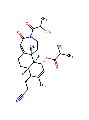 CC1=C[C@@H](OC(=O)C(C)C)[C@H]2[C@@H](CCC3=CC(=O)N(C(=O)C(C)C)CC[C@@]32C)[C@@H]1CCC#N